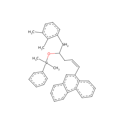 Cc1cccc([SiH2]C(C/C=C\c2cc3ccccc3c3ccccc23)O[Si](C)(C)c2ccccc2)c1C